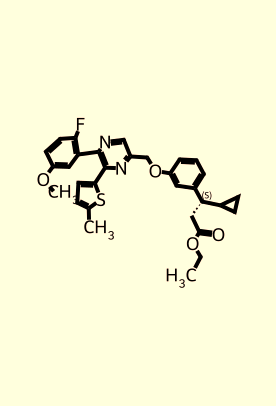 CCOC(=O)C[C@H](c1cccc(OCc2cnc(-c3cc(OC)ccc3F)c(-c3ccc(C)s3)n2)c1)C1CC1